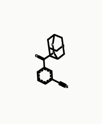 N#Cc1cccc(C(=O)N2CC3CC4CC2CN(C4)C3)c1